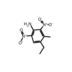 CCc1cc([N+](=O)[O-])c(N)c([N+](=O)[O-])c1C